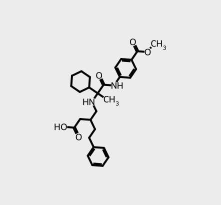 COC(=O)c1ccc(NC(=O)C(C)(NCC(CCc2ccccc2)CC(=O)O)C2CCCCC2)cc1